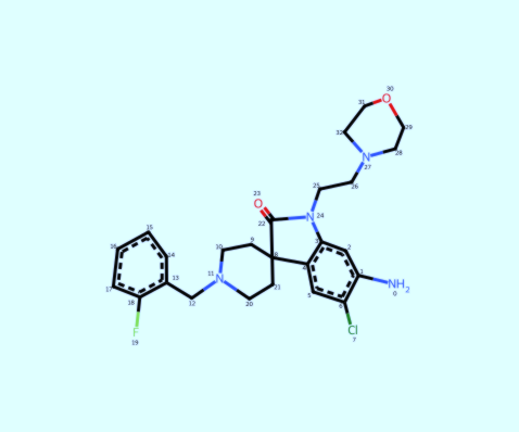 Nc1cc2c(cc1Cl)C1(CCN(Cc3ccccc3F)CC1)C(=O)N2CCN1CCOCC1